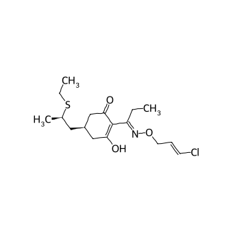 CCS[C@H](C)C[C@H]1CC(=O)C(/C(CC)=N/OC/C=C/Cl)=C(O)C1